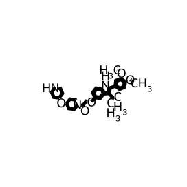 COc1ccc(-c2[nH]c3ccc(OCC(=O)N4CCC(OC5CCNCC5)CC4)cc3c2C(C)C)cc1OC